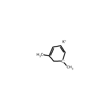 CC1=CC=C[C-](C)C1.[K+]